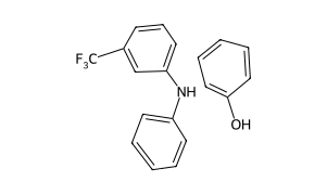 FC(F)(F)c1cccc(Nc2ccccc2)c1.Oc1ccccc1